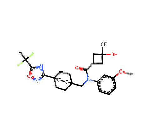 CC(C)Oc1cccc(N(CC23CCC(c4noc(C(C)(F)F)n4)(CC2)CC3)C(=O)C2CC(O)(C(F)(F)F)C2)c1